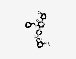 Nc1cccc(CS(=O)(=O)N2CCN(c3cnn(-c4cccc(Cl)c4)c(=O)c3OCc3ccccc3)CC2)c1